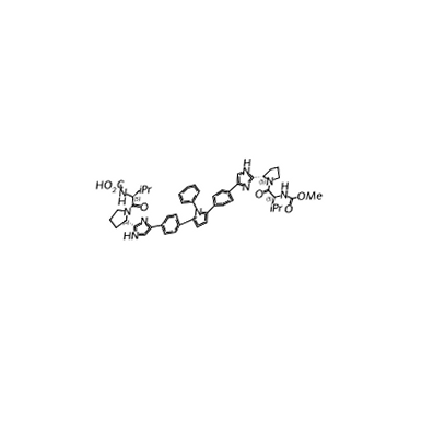 COC(=O)N[C@H](C(=O)N1CCC[C@H]1c1nc(-c2ccc(-c3ccc(-c4ccc(-c5c[nH]c([C@@H]6CCCN6C(=O)[C@@H](NC(=O)O)C(C)C)n5)cc4)n3-c3ccccc3)cc2)c[nH]1)C(C)C